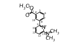 COC(=O)c1cccc(-c2cccc(N(C)C)n2)c1